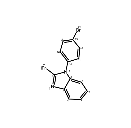 CC(C)c1nc2ccccc2n1-c1ccc(Br)cc1